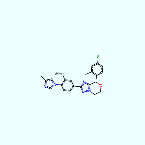 COc1cc(-c2nc3n(n2)CCO[C@@H]3c2ccc(F)cc2C)ccc1-n1cnc(C)c1